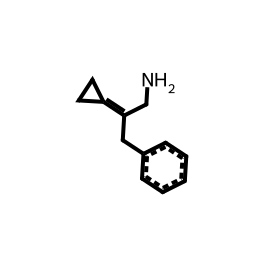 NCC(Cc1ccccc1)=C1CC1